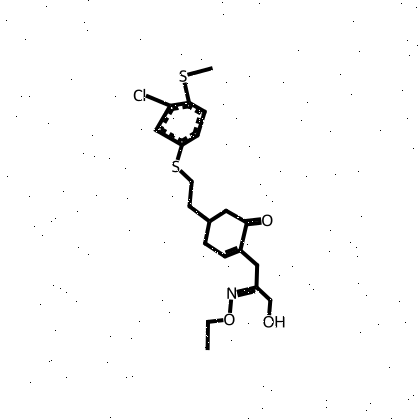 CCON=C(CO)CC1=CCC(CCSc2ccc(SC)c(Cl)c2)CC1=O